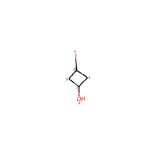 OC1CC(I)C1